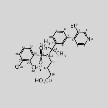 CCc1cnccc1-c1cccc(C(C)(C)N(CCCC(=O)O)S(=O)(=O)c2cccc(Cl)c2C)c1